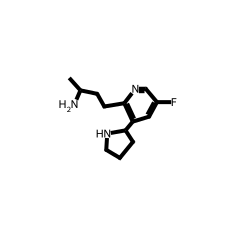 CC(N)CCc1ncc(F)cc1C1CCCN1